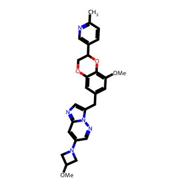 COc1cc(Cc2cnc3cc(N4CC(OC)C4)cnn23)cc2c1OC(c1ccc(C)nc1)CO2